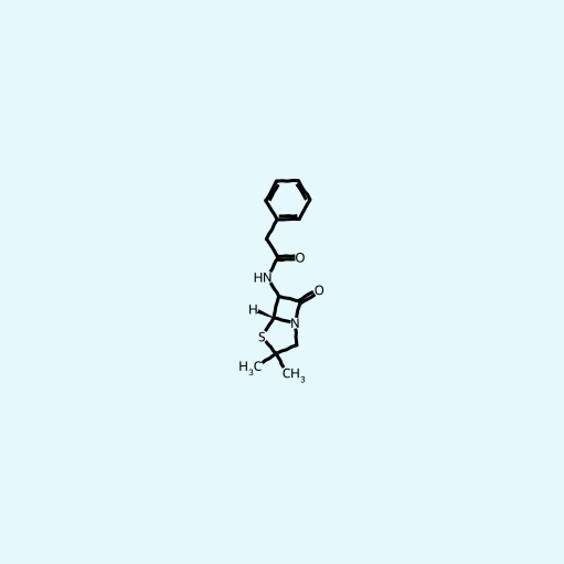 CC1(C)CN2C(=O)C(NC(=O)Cc3ccccc3)[C@H]2S1